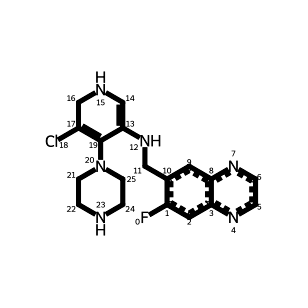 Fc1cc2nccnc2cc1CNC1=CNCC(Cl)=C1N1CCNCC1